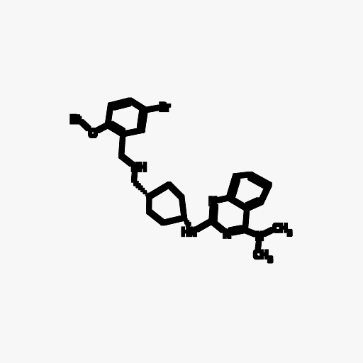 CCOc1ccc(Br)cc1CNC[C@H]1CC[C@@H](Nc2nc(N(C)C)c3ccccc3n2)CC1